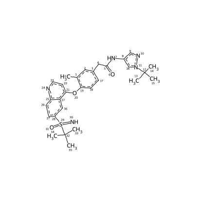 Cc1cc(CC(=O)Nc2cnn(C(C)(C)C)c2)ccc1Oc1ccnc2ccc(S(=N)(=O)C(C)(C)C)cc12